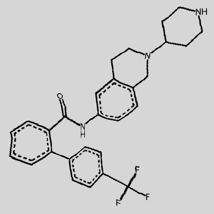 O=C(Nc1ccc2c(c1)CCN(C1CCNCC1)C2)c1ccccc1-c1ccc(C(F)(F)F)cc1